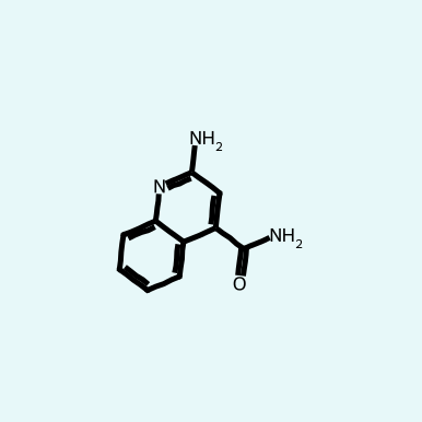 NC(=O)c1cc(N)nc2ccccc12